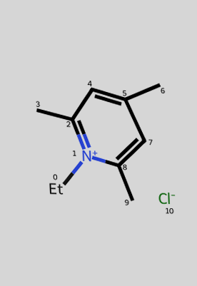 CC[n+]1c(C)cc(C)cc1C.[Cl-]